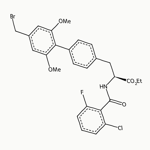 CCOC(=O)[C@H](Cc1ccc(-c2c(OC)cc(CBr)cc2OC)cc1)NC(=O)c1c(F)cccc1Cl